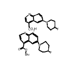 CC(C)(C)OC(=O)c1ccnc2ccc(N3CCC(F)CC3)cc12.O=C(O)c1ccnc2ccc(N3CCC(F)CC3)cc12